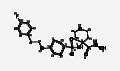 O=C(NO)C1(NS(=O)(=O)c2ccc(OCCc3ccc(F)cc3)cc2)CCOCC1